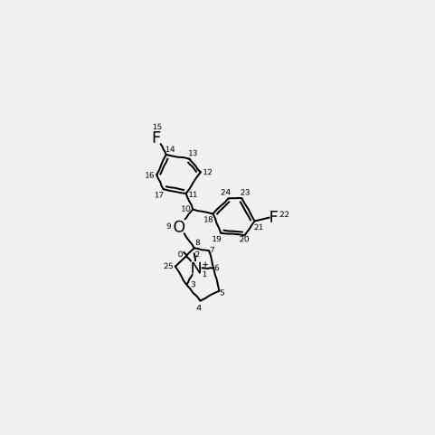 C[N+]1(C)C2CCC1CC(OC(c1ccc(F)cc1)c1ccc(F)cc1)C2